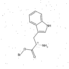 N[C@@H](Cc1c[nH]c2ccccc12)C(=O)OBr